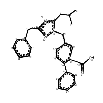 CC(C)Cc1nc(Cc2ccccc2)nn1Cc1ccc(-c2ccccc2)c(C(=O)O)c1